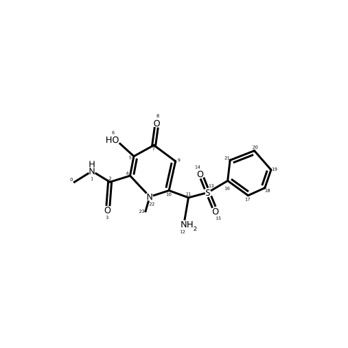 CNC(=O)c1c(O)c(=O)cc(C(N)S(=O)(=O)c2ccccc2)n1C